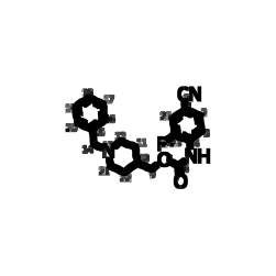 N#Cc1ccc(NC(=O)OCC2CCN(Cc3ccccc3)CC2)c(F)c1